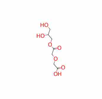 O=C(O)COCC(=O)OCC(O)CO